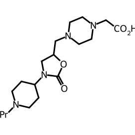 CC(C)N1CCC(N2CC(CN3CCN(CC(=O)O)CC3)OC2=O)CC1